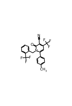 Cc1ccc(-c2cc(C(F)(F)F)c(C#N)c(=O)n2Cc2ccccc2C(F)(F)F)cc1